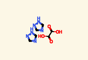 O=C(O)C(=O)O.c1nc[nH]n1.c1nc[nH]n1